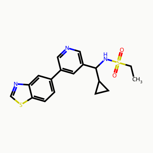 CCS(=O)(=O)NC(c1cncc(-c2ccc3scnc3c2)c1)C1CC1